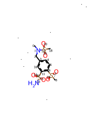 CN(Cc1ccc(S(C)(=O)=O)c(S(N)(=O)=O)c1)S(C)(=O)=O